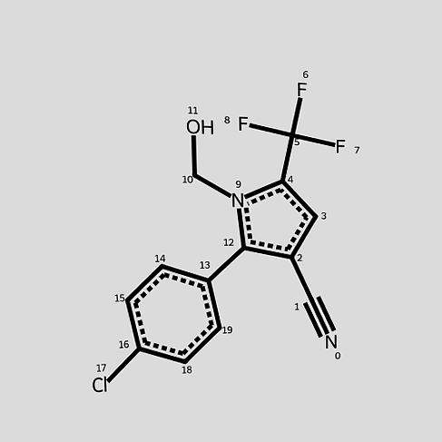 N#Cc1cc(C(F)(F)F)n(CO)c1-c1ccc(Cl)cc1